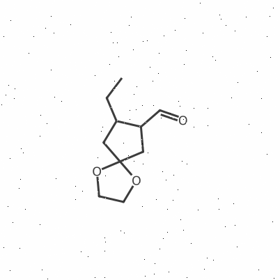 CCC1CC2(CC1C=O)OCCO2